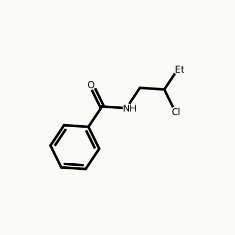 CCC(Cl)CNC(=O)c1ccccc1